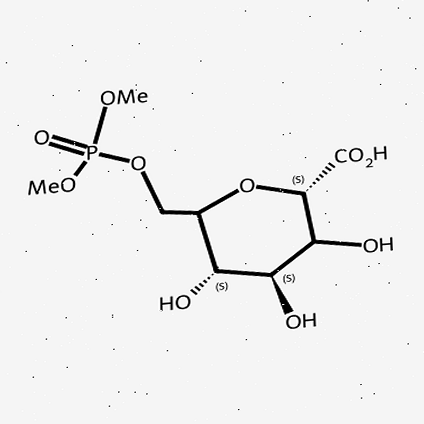 COP(=O)(OC)OCC1O[C@H](C(=O)O)C(O)[C@@H](O)[C@@H]1O